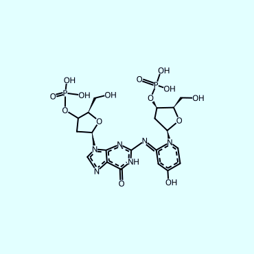 O=c1[nH]c(N=c2cc(O)ccn2[C@H]2C[C@@H](OP(=O)(O)O)[C@@H](CO)O2)nc2c1ncn2[C@H]1CC(OP(=O)(O)O)[C@@H](CO)O1